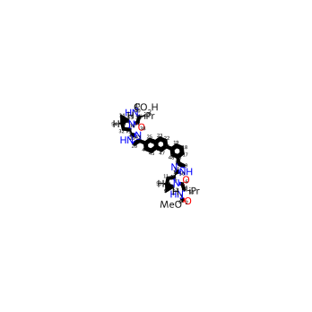 COC(=O)N[C@H](C(=O)N1[C@@H]2C[C@@H]2C[C@H]1c1nc(-c2cccc(-c3ccc4cc(-c5c[nH]c([C@H]6C[C@@H]7C[C@@H]7N6C(=O)[C@@H](NC(=O)O)C(C)C)n5)ccc4c3)c2)c[nH]1)C(C)C